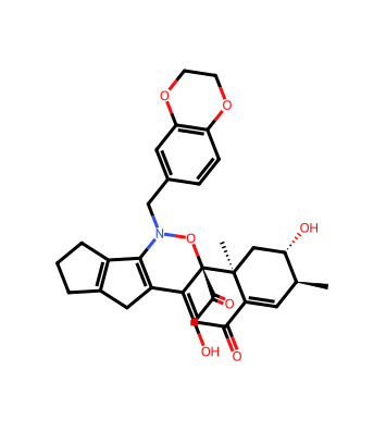 C[C@H]1C=C2C(=O)C=C3C4=C(C5=C(CCC5)C4)N(Cc4ccc5c(c4)OCCO5)O[C@]3(C(=O)CO)[C@@]2(C)C[C@@H]1O